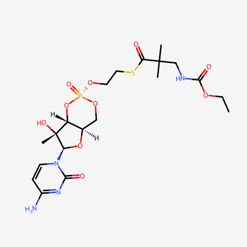 CCOC(=O)NCC(C)(C)C(=O)SCCO[P@]1(=O)OC[C@H]2O[C@@H](n3ccc(N)nc3=O)[C@](C)(O)[C@@H]2O1